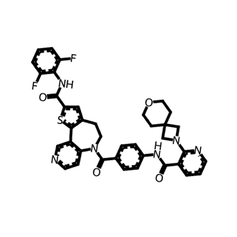 O=C(Nc1c(F)cccc1F)c1cc2c(s1)-c1cnccc1N(C(=O)c1ccc(NC(=O)c3cccnc3N3CC4(CCOCC4)C3)cc1)CC2